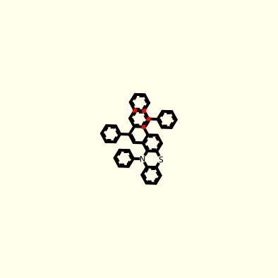 C(=C(c1ccccc1)c1ccccc1)c1ccc2c(c1C=C(c1ccccc1)c1ccccc1)N(c1ccccc1)c1ccccc1S2